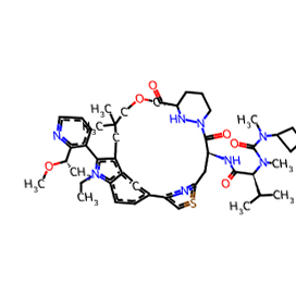 CCn1c(-c2cccnc2[C@H](C)OC)c2c3cc(ccc31)-c1csc(n1)C[C@H](NC(=O)[C@H](C(C)C)N(C)C(=O)N(C)C1CCC1)C(=O)N1CCC[C@](C=O)(COCC(C)(C)C2)N1